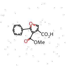 COC(=O)c1c(C(=O)O)coc1-c1ccccc1